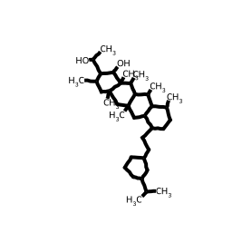 CC(C)C1CCCC(CCC2CCC(C)C3C(C)C4C(C)C5(C)C(O)C(C(C)O)C(C)CC5(C)CC4(C)CC23)C1